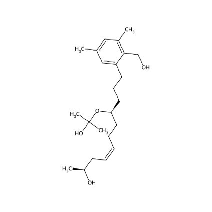 Cc1cc(C)c(CO)c(CCC[C@@H](CC/C=C\C[C@H](C)O)OC(C)(C)O)c1